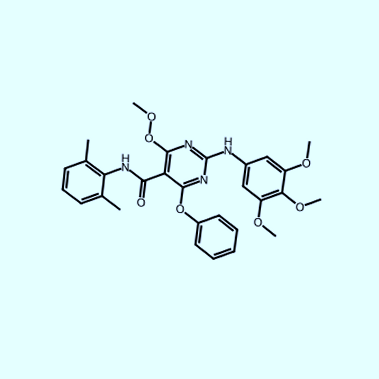 COOc1nc(Nc2cc(OC)c(OC)c(OC)c2)nc(Oc2ccccc2)c1C(=O)Nc1c(C)cccc1C